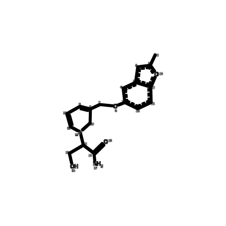 Cc1cc2cc(OCC3=CC=CN(C(CO)C(N)=O)C3)ccc2o1